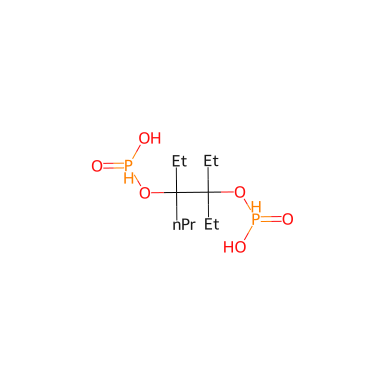 CCCC(CC)(O[PH](=O)O)C(CC)(CC)O[PH](=O)O